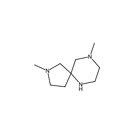 CN1CCNC2(CCN(C)C2)C1